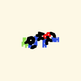 CC(NC(=O)C1CN(c2ccc(C(F)(F)F)c3nccnc23)CC12CC2)C1CNCCCOC1